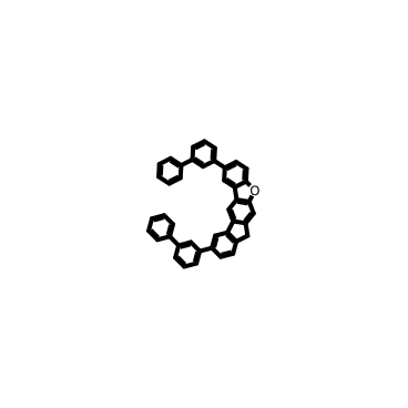 c1ccc(-c2cccc(-c3ccc4c(c3)-c3cc5c(cc3C4)oc3ccc(-c4cccc(-c6ccccc6)c4)cc35)c2)cc1